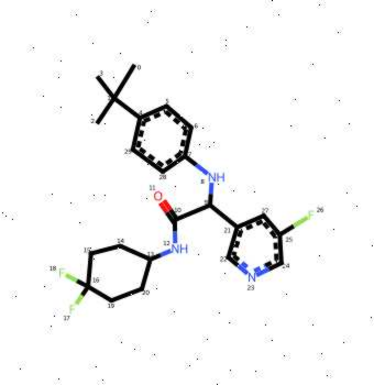 CC(C)(C)c1ccc(NC(C(=O)NC2CCC(F)(F)CC2)c2cncc(F)c2)cc1